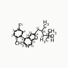 Cc1ccc(F)cc1-c1cncc2oc(CC(C)CC(C)(C)O)cc12